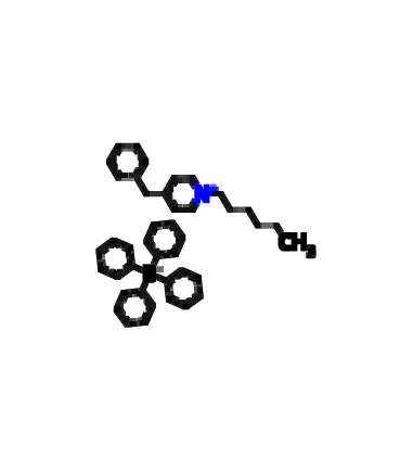 CCCCCC[n+]1ccc(Cc2ccccc2)cc1.c1ccc([B-](c2ccccc2)(c2ccccc2)c2ccccc2)cc1